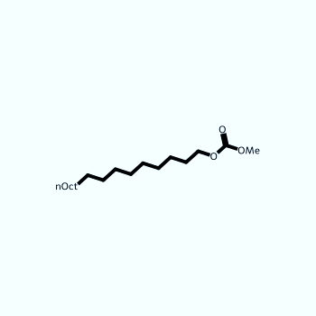 CCCCCCCCCCCCCCCCCOC(=O)OC